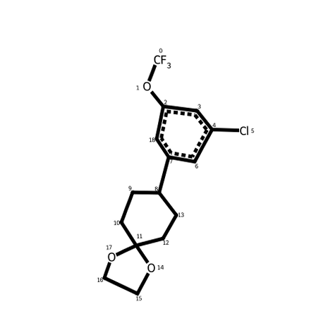 FC(F)(F)Oc1cc(Cl)cc(C2CCC3(CC2)OCCO3)c1